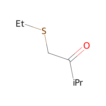 CCSCC(=O)C(C)C